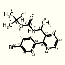 CC(NC(=O)OC(C)(C)C)c1nccnc1-c1ccc(Br)cn1